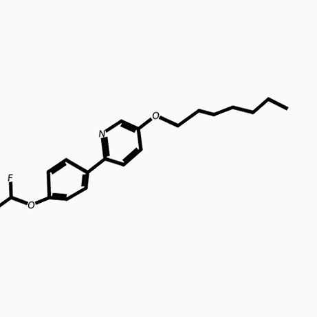 CCCCCCCOc1ccc(-c2ccc(OC(F)F)cc2)nc1